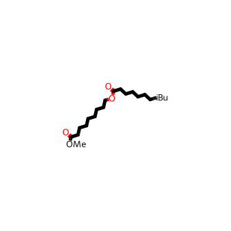 CCC(C)CCCCCCC(=O)OCCCCCCCCC(=O)OC